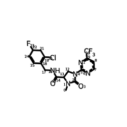 CN1C(=O)N(c2nccc(C(F)(F)F)n2)CC1C(=O)NCC1=C(Cl)CC(F)C=C1